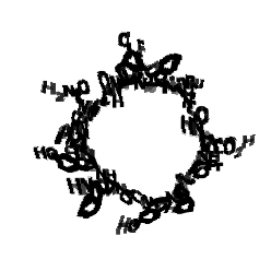 CCCC[C@H]1C(=O)N(C)CC(=O)N[C@@H](CC(=O)O)C(=O)N[C@@H](C(C)C)C(=O)N(C)[C@@H](Cc2ccccc2)C(=O)N[C@@H](Cc2ccc(O)cc2)C(=O)N(C)CC(=O)N[C@@H](Cc2c[nH]c3ccccc23)C(=O)N[C@@H](Cc2ccc(O)cc2)C(=O)N[C@@H](CC(C)C)C(=O)N[C@H](C(=O)NCC(N)=O)CSCC(=O)N[C@@H](Cc2cc(Cl)c(F)c(Cl)c2)C(=O)N(C)[C@@H](Cc2ccccc2)C(=O)N1C